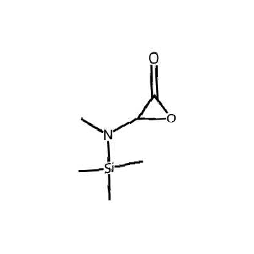 CN(C1OC1=O)[Si](C)(C)C